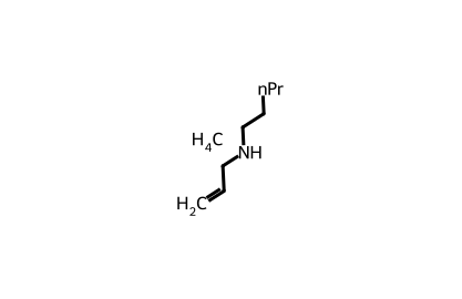 C.C=CCNCCCCC